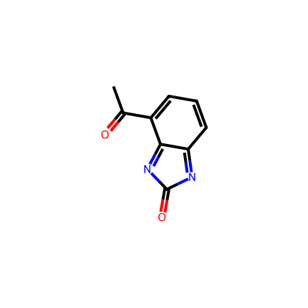 CC(=O)c1cccc2c1=NC(=O)N=2